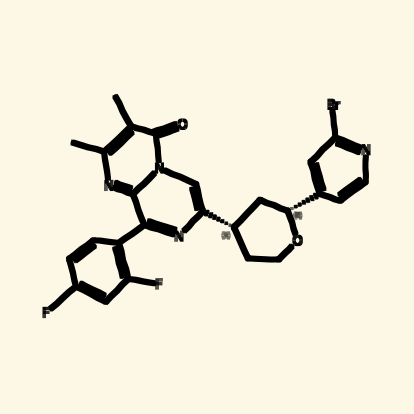 Cc1nc2c(-c3ccc(F)cc3F)nc([C@H]3CCO[C@@H](c4ccnc(Br)c4)C3)cn2c(=O)c1C